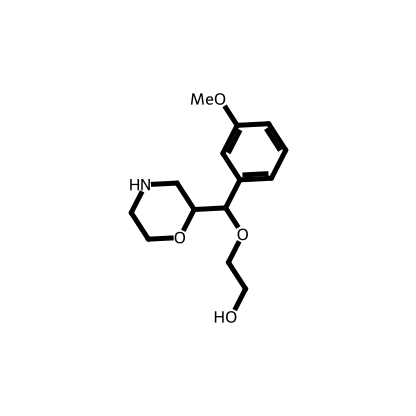 COc1cccc(C(OCCO)C2CNCCO2)c1